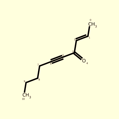 C/C=C/C(=O)C#CCCCC